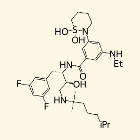 CCNc1cc(C(=O)N[C@@H](Cc2cc(F)cc(F)c2)[C@@H](O)CNC(C)(C)CCCC(C)C)cc(N2CCCCS2(O)O)c1